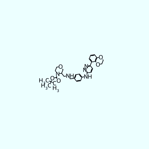 CC(C)(C)OC(=O)N1CCOCC1CNCc1ccc(Nc2ccc(-c3cccc4c3OCCO4)nn2)cc1